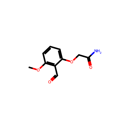 COc1cccc(OCC(N)=O)c1C=O